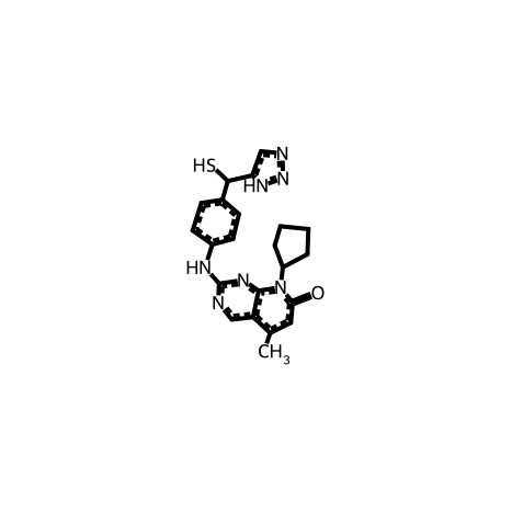 Cc1cc(=O)n(C2CCCC2)c2nc(Nc3ccc(C(S)c4cnn[nH]4)cc3)ncc12